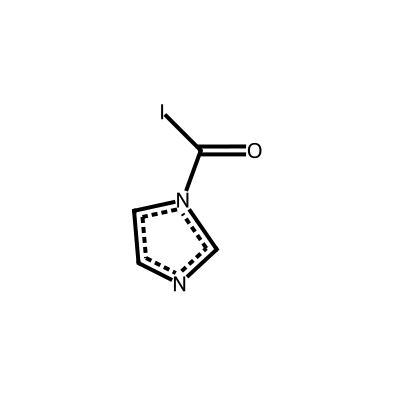 O=C(I)n1ccnc1